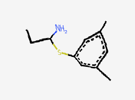 CCC(N)Sc1cc(C)cc(C)c1